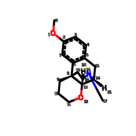 COc1ccc2c(c1)[C@@]13CCCO[C@H]1[C@@H](C2)N(C)CC3